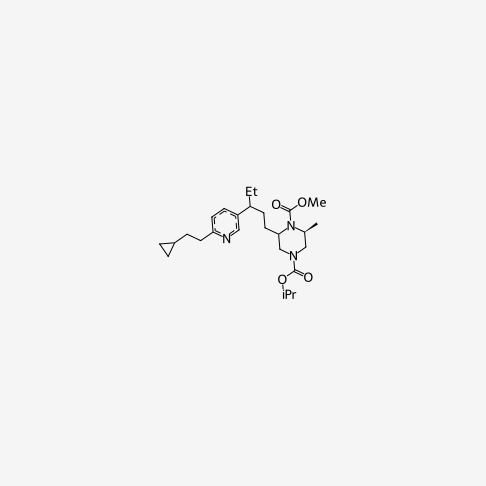 CCC(CCC1CN(C(=O)OC(C)C)C[C@H](C)N1C(=O)OC)c1ccc(CCC2CC2)nc1